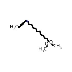 C=CC#C/C=C\CCCCCCCCCCC(OCC)OCC